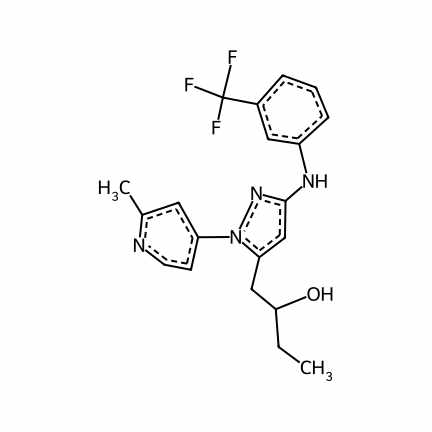 CCC(O)Cc1cc(Nc2cccc(C(F)(F)F)c2)nn1-c1ccnc(C)c1